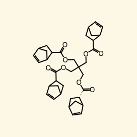 O=C(OCC(COC(=O)C1CC2C=CC1C2)(COC(=O)C1CC2C=CC1C2)COC(=O)[C@H]1CC2C=CC1C2)C1CC2C=CC1C2